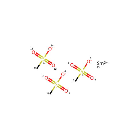 CS(=O)(=O)[O-].CS(=O)(=O)[O-].CS(=O)(=O)[O-].[Sm+3]